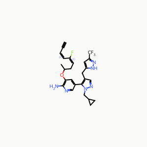 C#C/C=C\C(F)=C/CC(C)Oc1cc(-c2c(Cc3cc(C(F)(F)F)n[nH]3)cnn2CC2CC2)cnc1N